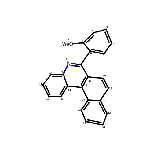 COc1ccccc1-c1nc2ccccc2c2c1ccc1ccccc12